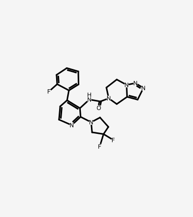 O=C(Nc1c(-c2ccccc2F)ccnc1N1CCC(F)(F)C1)N1CCn2nncc2C1